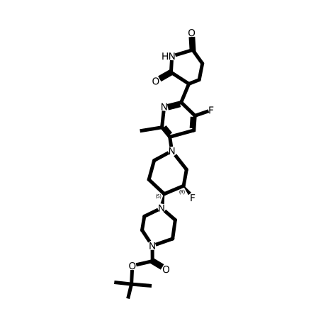 Cc1nc(C2CCC(=O)NC2=O)c(F)cc1N1CC[C@H](N2CCN(C(=O)OC(C)(C)C)CC2)[C@H](F)C1